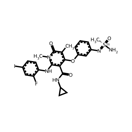 Cc1c(Oc2cccc(N=[S@](C)(N)=O)c2)c(C(=O)NC2CC2)c(Nc2ccc(I)cc2F)n(C)c1=O